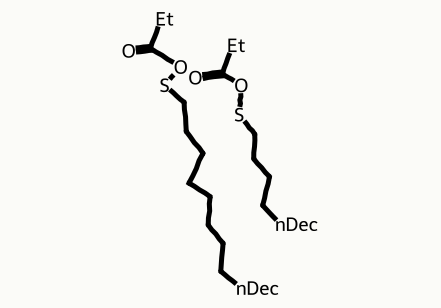 CCCCCCCCCCCCCCCCCCSOC(=O)CC.CCCCCCCCCCCCCCSOC(=O)CC